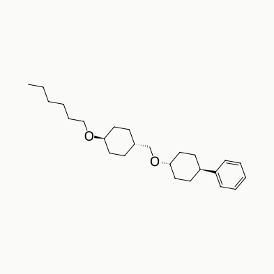 CCCCCCO[C@H]1CC[C@H](CO[C@H]2CC[C@H](c3ccccc3)CC2)CC1